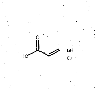 C=CC(=O)O.[Cu].[LiH]